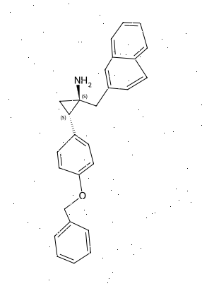 N[C@]1(Cc2ccc3ccccc3c2)C[C@H]1c1ccc(OCc2ccccc2)cc1